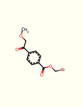 COCC(=O)c1ccc(C(=O)OCBr)cc1